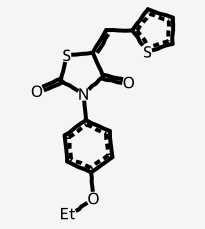 CCOc1ccc(N2C(=O)SC(=Cc3cccs3)C2=O)cc1